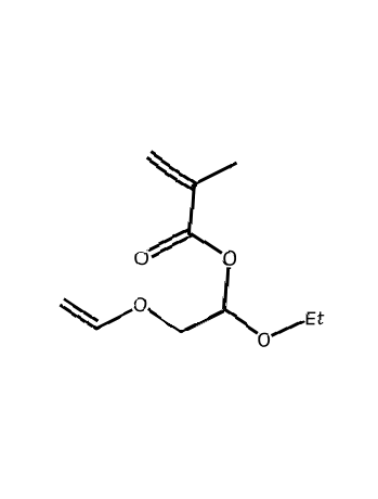 C=COCC(OCC)OC(=O)C(=C)C